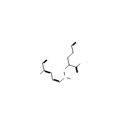 C=CCCC(NN(C)/C=C\C=C(/C)C=N)C(=C)NC